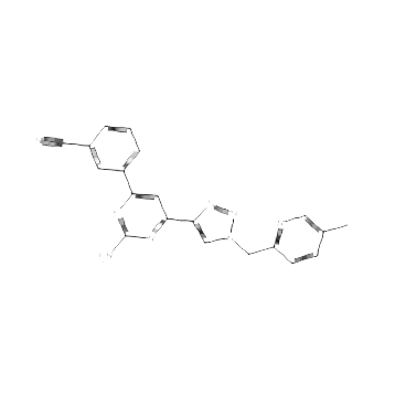 Cc1ccc(Cn2cc(-c3cc(-c4cccc(C#N)c4)nc(N)n3)nn2)nc1